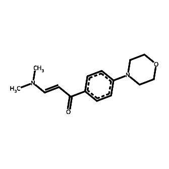 CN(C)C=CC(=O)c1ccc(N2CCOCC2)cc1